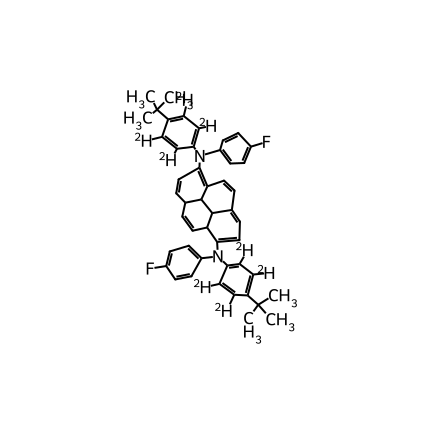 [2H]c1c([2H])c(C(C)(C)C)c([2H])c([2H])c1N(C1=CC=C2C=CC3=C(N(c4ccc(F)cc4)c4c([2H])c([2H])c(C(C)(C)C)c([2H])c4[2H])C=CC4C=CC1C2C34)c1ccc(F)cc1